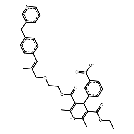 CCOC(=O)C1=C(C)NC(C)=C(C(=O)OCCOCC(C)=Cc2ccc(Cc3cccnc3)cc2)C1c1cccc([N+](=O)[O-])c1